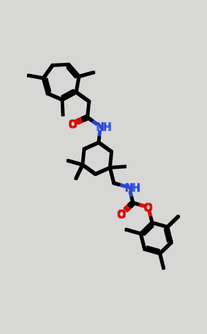 CC1=CC(C)=C(CC(=O)NC2CC(C)(C)CC(C)(CNC(=O)Oc3c(C)cc(C)cc3C)C2)C(C)=CC1